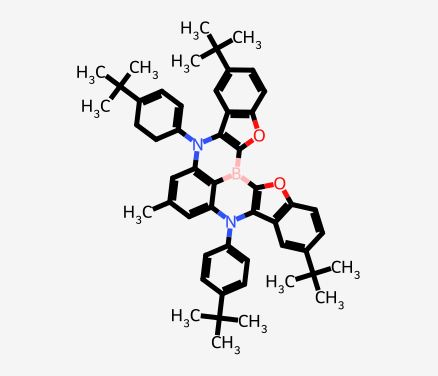 Cc1cc2c3c(c1)N(c1ccc(C(C)(C)C)cc1)c1c(oc4ccc(C(C)(C)C)cc14)B3c1oc3ccc(C(C)(C)C)cc3c1N2C1=CC=C(C(C)(C)C)CC1